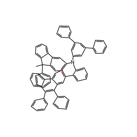 CC1(c2ccccc2)c2ccccc2-c2cc(N(c3cc(-c4ccccc4)cc(-c4ccccc4)c3)c3ccccc3-c3ccc4c(c3)c(-c3ccccc3)c(-c3ccccc3)c3ccccc34)ccc21